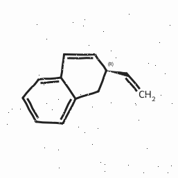 C=C[C@@H]1C=Cc2ccccc2C1